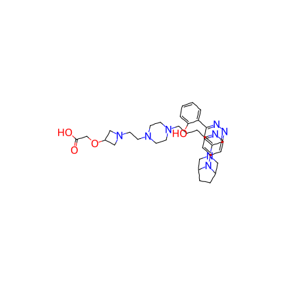 O=C(O)COC1CN(CCN2CCN(CCCc3cc(N4C5CCC4CN(c4cnnc(-c6ccccc6O)c4)C5)ccn3)CC2)C1